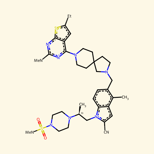 CCc1cc2c(N3CCC4(CCN(Cc5ccc6c(cc(C#N)n6C[C@H](C)N6CCN(S(=O)(=O)NC)CC6)c5C)C4)CC3)nc(NC)nc2s1